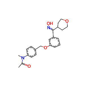 CC(=O)N(C)c1ccc(COc2cccc(C(=NO)C3CCOCC3)c2)cc1